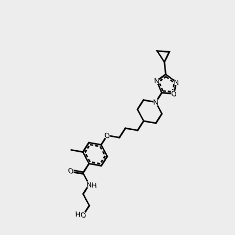 Cc1cc(OCCCC2CCN(c3nc(C4CC4)no3)CC2)ccc1C(=O)NCCO